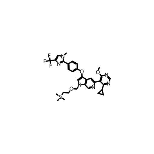 COc1ncnc(C2CC2)c1-c1cc2c(Oc3ccc(-c4nc(C(F)(F)F)cn4C)cc3)cn(COCC[Si](C)(C)C)c2cn1